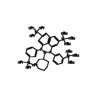 CCCC[Si](CCCC)(CCCC)c1cccc(P(c2cccc([Si](CCCC)(CCCC)CCCC)c2)N(C2CCCCCC2)P(c2cccc([Si](CCC)(CCC)CCC)c2)c2cccc([Si](CCC)(CCC)CCC)c2)c1